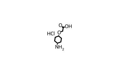 Cl.N[C@H]1CC[C@H](OCC(=O)O)CC1